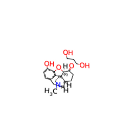 CN1CC[C@]23c4c5ccc(O)c4O[C@H]2C(=O)CC[C@H]3[C@H]1C5.OCCCO